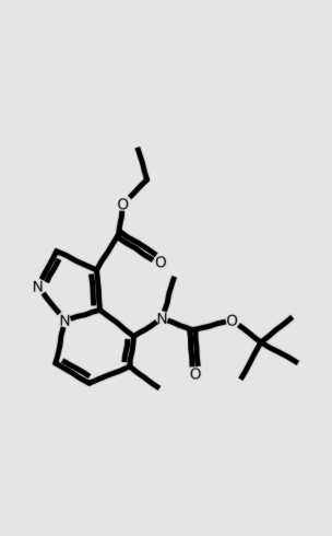 CCOC(=O)c1cnn2ccc(C)c(N(C)C(=O)OC(C)(C)C)c12